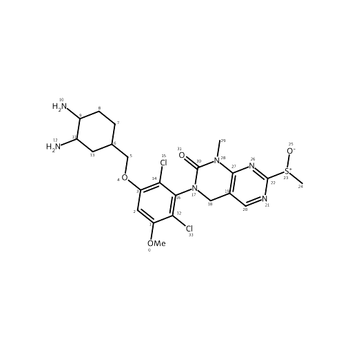 COc1cc(OCC2CCC(N)C(N)C2)c(Cl)c(N2Cc3cnc([S+](C)[O-])nc3N(C)C2=O)c1Cl